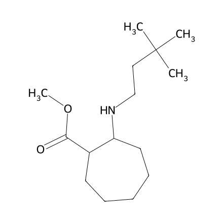 COC(=O)C1CCCCCC1NCCC(C)(C)C